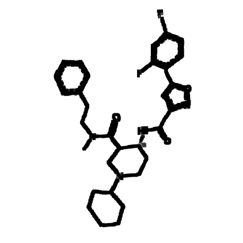 CN(CCc1ccccc1)C(=O)C1CN(C2CCCCC2)CC[C@H]1NC(=O)c1cc(-c2ccc(F)cc2F)on1